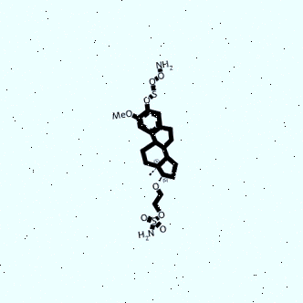 COc1cc2c(cc1OSOON)CCC1C2CC[C@@]2(C)C1CC[C@@H]2OCCOS(N)(=O)=O